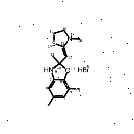 Br.Cc1cc(C)c2c(c1)NC(C)(/C=C1\SCCN1C)O2